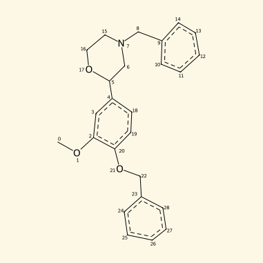 COc1cc(C2CN(Cc3ccccc3)CCO2)ccc1OCc1ccccc1